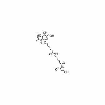 COCC1C[C@@H](O)CN1C(=O)CCCCCNC(=O)CCCCCOC1OC(CO)C(O)C(O)C1NC(C)=O